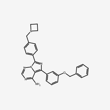 Nc1ncnn2c(-c3ccc(CN4CCC4)cc3)nc(-c3cccc(OCc4ccccc4)c3)c12